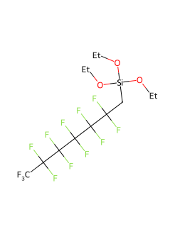 CCO[Si](CC(F)(F)C(F)(F)C(F)(F)C(F)(F)C(F)(F)C(F)(F)F)(OCC)OCC